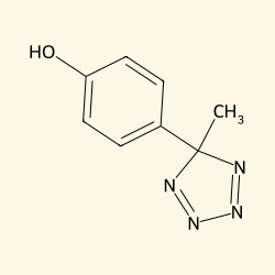 CC1(c2ccc(O)cc2)N=NN=N1